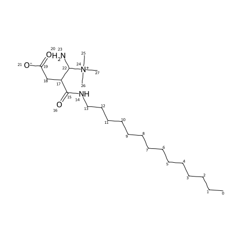 CCCCCCCCCCCCCCNC(=O)C(CC(=O)[O-])C(N)[N+](C)(C)C